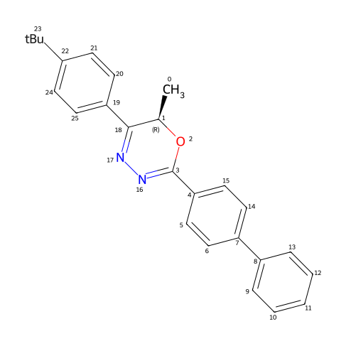 C[C@H]1OC(c2ccc(-c3ccccc3)cc2)=NN=C1c1ccc(C(C)(C)C)cc1